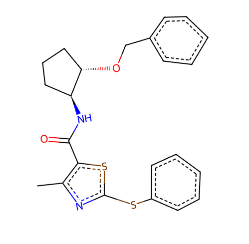 Cc1nc(Sc2ccccc2)sc1C(=O)N[C@H]1CCC[C@@H]1OCc1ccccc1